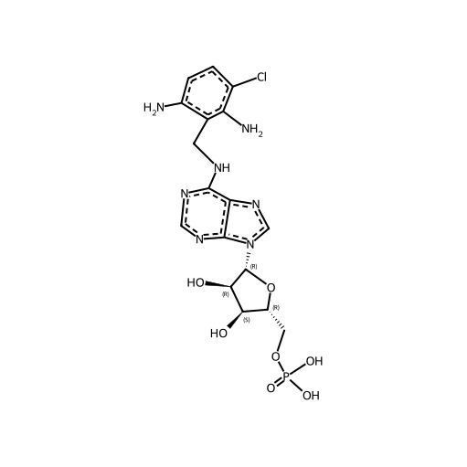 Nc1ccc(Cl)c(N)c1CNc1ncnc2c1ncn2[C@@H]1O[C@H](COP(=O)(O)O)[C@@H](O)[C@H]1O